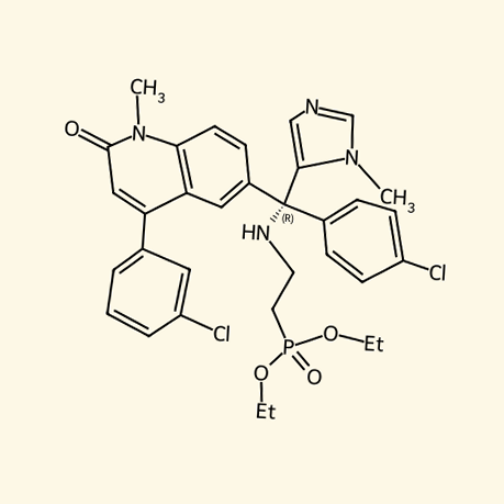 CCOP(=O)(CCN[C@](c1ccc(Cl)cc1)(c1ccc2c(c1)c(-c1cccc(Cl)c1)cc(=O)n2C)c1cncn1C)OCC